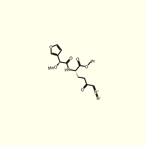 CO[C@H](C(=O)N[C@@H](CCC(=O)C=[N+]=[N-])C(=O)OC(C)C)c1ccoc1